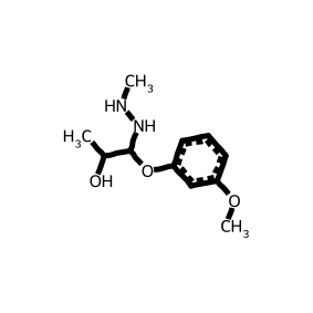 CNNC(Oc1cccc(OC)c1)C(C)O